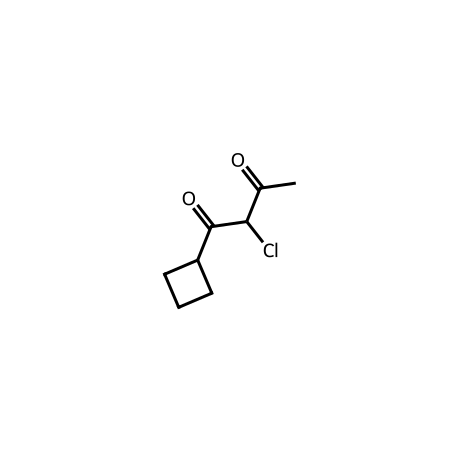 CC(=O)C(Cl)C(=O)C1CCC1